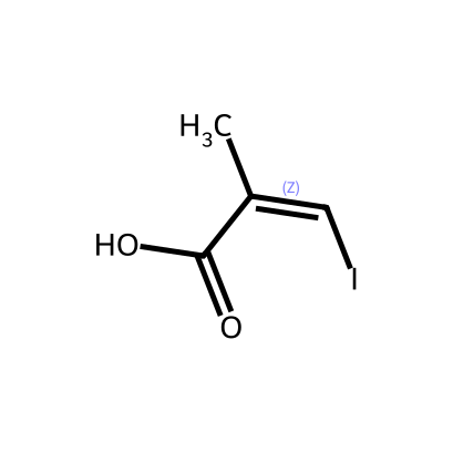 C/C(=C/I)C(=O)O